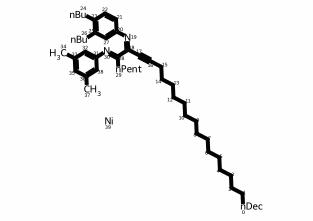 CCCCCCCCCCCCCCCCCCCCCCCCCC#CC(=Nc1ccc(CCCC)c(CCCC)c1)C(CCCCC)=Nc1cc(C)cc(C)c1.[Ni]